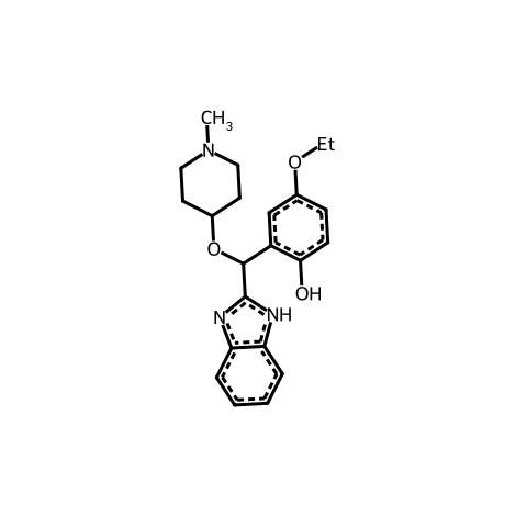 CCOc1ccc(O)c(C(OC2CCN(C)CC2)c2nc3ccccc3[nH]2)c1